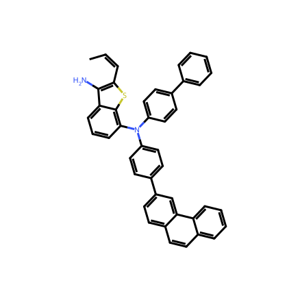 C/C=C\c1sc2c(N(c3ccc(-c4ccccc4)cc3)c3ccc(-c4ccc5ccc6ccccc6c5c4)cc3)cccc2c1N